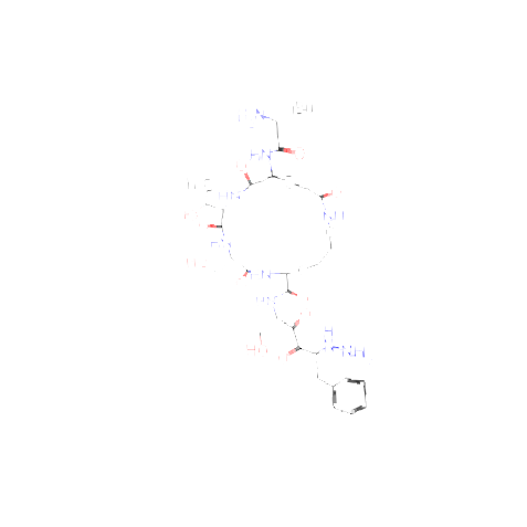 CC[C@H](C)C(N)C(=O)NC1CCC(=O)NCCCCC(C(=O)N[C@@H](CO)C(=O)C(=O)[C@H](Cc2ccccc2)NN)NC(=O)[C@H](CO)NC(=O)[C@H]([C@@H](C)O)NC1=O